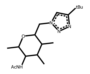 CC(=O)NC1C(C)OC(Cn2cc(C(C)(C)C)nn2)C(C)C1C